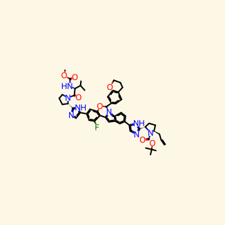 C=CC[C@@H]1CC[C@@H](c2ncc(-c3ccc4c(c3)cc3n4C(c4ccc5c(c4)OCCC5)Oc4cc(-c5cnc([C@@H]6CCCN6C(=O)[C@@H](NC(=O)OC)C(C)C)[nH]5)cc(F)c4-3)[nH]2)N1C(=O)OC(C)(C)C